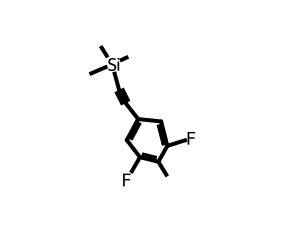 Cc1c(F)cc(C#C[Si](C)(C)C)cc1F